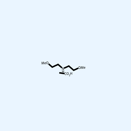 CC(=O)O.COCCNCCOC